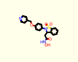 O=C(CC1c2ccccc2S(=O)(=O)N1c1ccc(OCc2ccncc2)cc1)NO